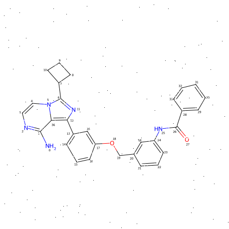 Nc1nccn2c(C3CCC3)nc(-c3cccc(OCc4cccc(NC(=O)c5ccccc5)c4)c3)c12